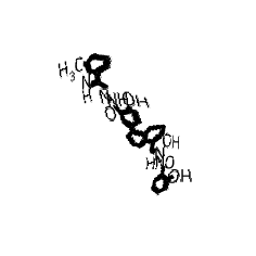 Cc1cccc2c(/C=N/NC(=O)c3cc(-c4cccc5c(/C=N/NC(=O)c6ccccc6O)c(O)ccc45)ccc3O)c[nH]c12